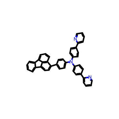 c1ccc(-c2ccc(N(c3ccc(-c4ccccn4)cc3)c3ccc(-c4ccc5c6c(cccc46)-c4ccccc4-5)cc3)cc2)nc1